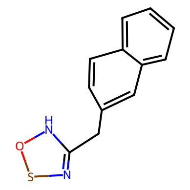 c1ccc2cc(CC3=NSON3)ccc2c1